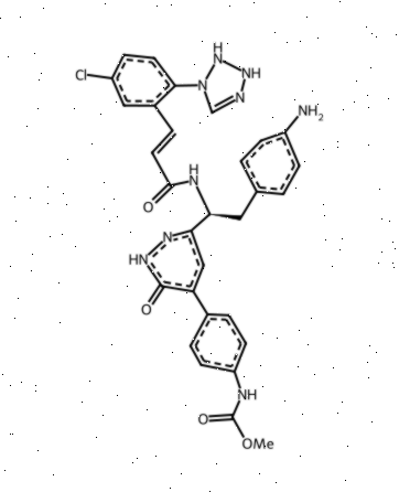 COC(=O)Nc1ccc(-c2cc([C@H](Cc3ccc(N)cc3)NC(=O)/C=C/c3cc(Cl)ccc3N3C=NNN3)n[nH]c2=O)cc1